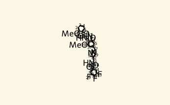 COc1ccccc1S(=O)(=O)Nc1noc2cc(Cn3cc(CNS(=O)(=O)c4cc(F)c(F)c(F)c4)cn3)cc(OC)c12